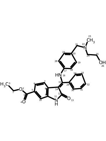 CCOC(=O)c1ccc2c(c1)NC(=O)C2=C(Nc1ccc(CN(C)CCO)cc1)c1ccccc1